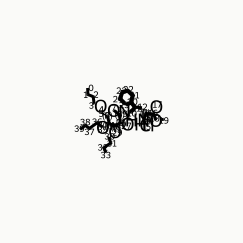 CCCCOC[C@H]1O[C@H](n2cc(C[C@@H](NCl)C(=O)OC)c3ccccc32)[C@@H](O)[C@@H](OCCCC)[C@@H]1OCCCC